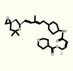 CC(/C=C/[C@@H]1C[C@]2(CO2)CC(C)(C)O1)=C\CC1CCC(NC(=O)/C=C\[C@H](C)OC(=O)C2CCOCC2)CC1